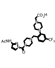 CC(=O)Nc1ccn(C(=O)N2CCN(Cc3ccc(C(F)(F)F)cc3N3CCN(CC(=O)O)CC3)CC2)n1